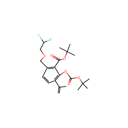 C=C(C)c1ccc(COCC(F)F)c(C(=O)OC(C)(C)C)c1OC(=O)OC(C)(C)C